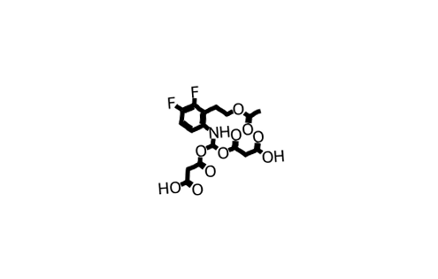 CC(=O)OCCc1c(NC(OC(=O)CC(=O)O)OC(=O)CC(=O)O)ccc(F)c1F